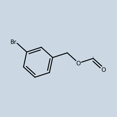 O=[C]OCc1cccc(Br)c1